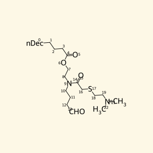 CCCCCCCCCCCCCC(=O)OCCN(CCCC=O)C(=O)CSCCN(C)C